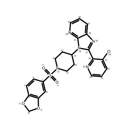 O=S(=O)(c1ccc2c(c1)OCO2)N1CCC(n2c(-c3ncccc3Cl)nc3cccnc32)CC1